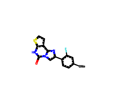 COc1ccc(-c2cn3c(=O)[nH]c4sccc4c3n2)c(F)c1